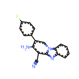 N#Cc1c(N)c(-c2ccc(F)cc2)cn2c1nc1ccccc12